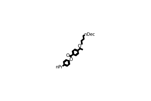 CCCCCCCCCCCCCCOC(C)c1ccc(C(=O)Oc2ccc(CCC)cc2)cc1